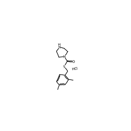 Cc1ccc(CSC(=O)N2CCNCC2)c(C)c1.Cl